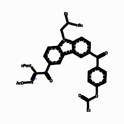 CCCCC/C(=N\OC(C)=O)C(=O)c1ccc2c(c1)c1cc(C(=O)c3ccc(OC(=O)CC)cc3)ccc1n2CC(CC)CCCC